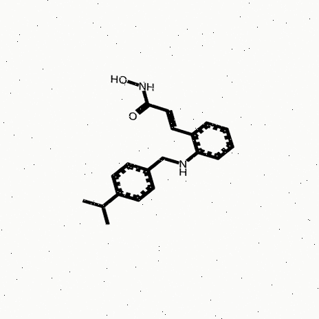 CC(C)c1ccc(CNc2ccccc2C=CC(=O)NO)cc1